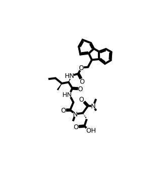 CC[C@H](C)[C@H](NC(=O)OCC1c2ccccc2-c2ccccc21)C(=O)NCC(=O)N(C)[C@@H](CC(=O)O)C(=O)N(C)C